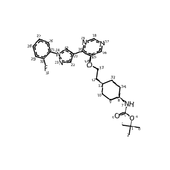 CC(C)(C)OC(=O)N[C@H]1CC[C@@H](CCOc2cncnc2-c2cnn(-c3ccccc3F)c2)CC1